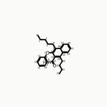 CCCCCc1c(Oc2ccccc2)c(C(N)=O)c(CCCC)c2ccccc12